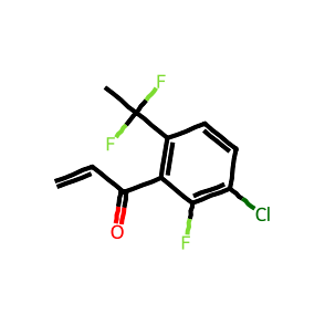 C=CC(=O)c1c(C(C)(F)F)ccc(Cl)c1F